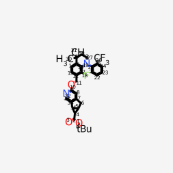 CC(C)(C)OC(=O)C1C2Cc3cc(OCc4ccc5c(c4F)N(c4ccccc4C(F)(F)F)CCC5(C)C)ncc3C21